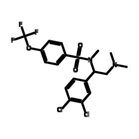 CN(C)CC(c1ccc(Cl)c(Cl)c1)N(C)S(=O)(=O)c1ccc(OC(F)(F)F)cc1